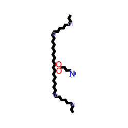 CC/C=C\CCCC/C=C\CCCCCCCCC(CCCCCCCC/C=C\CCCC/C=C\CC)OC(=O)CCCN(C)C